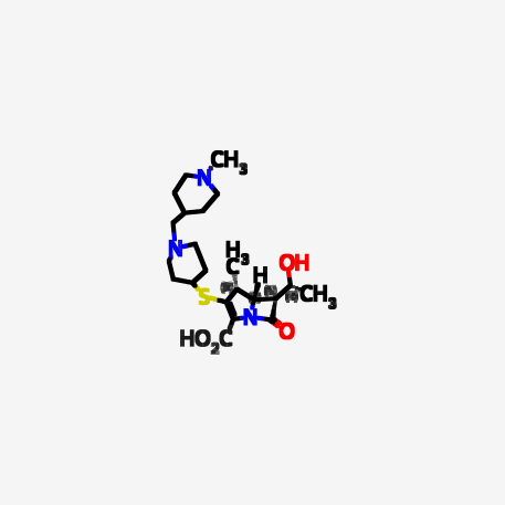 C[C@@H](O)[C@H]1C(=O)N2C(C(=O)O)=C(SC3CCN(CC4CCN(C)CC4)CC3)[C@H](C)[C@H]12